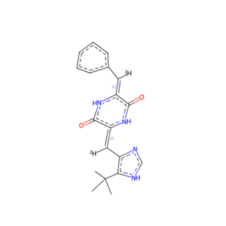 [2H]/C(c1ccccc1)=c1/[nH]c(=O)/c(=C(\[2H])c2nc[nH]c2C(C)(C)C)[nH]c1=O